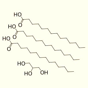 CCCCCCCCCCCCCC(=O)O.CCCCCCCCCCCCCC(=O)O.CCCCCCCCCCCCCC(=O)O.OCC(O)CO